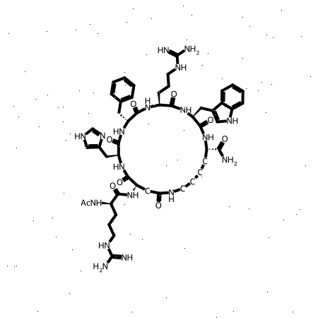 CC(=O)N[C@H](CCCNC(=N)N)C(=O)N[C@H]1CC(=O)NCCCC[C@@H](C(N)=O)NC(=O)[C@H](Cc2c[nH]c3ccccc23)NC(=O)[C@H](CCCNC(=N)N)NC(=O)[C@@H](Cc2ccccc2)NC(=O)[C@H](Cc2c[nH]cn2)NC1=O